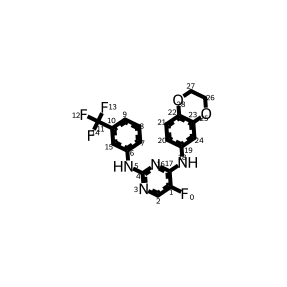 Fc1cnc(Nc2cccc(C(F)(F)F)c2)nc1Nc1ccc2c(c1)OCCO2